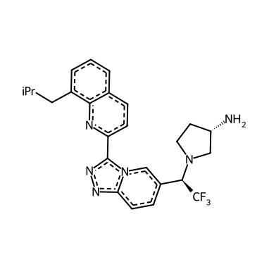 CC(C)Cc1cccc2ccc(-c3nnc4ccc([C@@H](N5CC[C@H](N)C5)C(F)(F)F)cn34)nc12